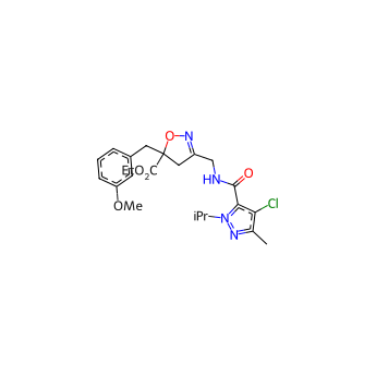 CCOC(=O)C1(Cc2cccc(OC)c2)CC(CNC(=O)c2c(Cl)c(C)nn2C(C)C)=NO1